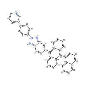 c1cncc(-c2ccc(-n3nc4ccc(-c5c6ccccc6c(-c6cccc7ccccc67)c6ccccc56)cc4n3)cc2)c1